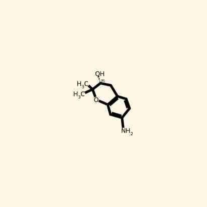 CC1(C)Oc2cc(N)ccc2C[C@H]1O